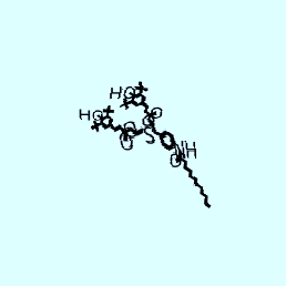 CCCCCCCCCCCC(=O)Nc1ccc(C(COC(=O)CCc2cc(C(C)(C)C)c(O)c(C(C)(C)C)c2)SCCOC(=O)CCc2cc(C(C)(C)C)c(O)c(C(C)(C)C)c2)cc1